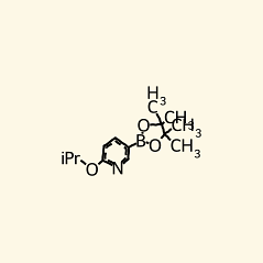 CC(C)Oc1ccc(B2OC(C)(C)C(C)(C)O2)cn1